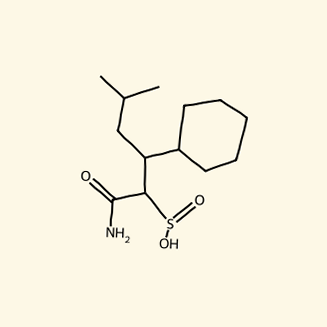 CC(C)CC(C1CCCCC1)C(C(N)=O)S(=O)O